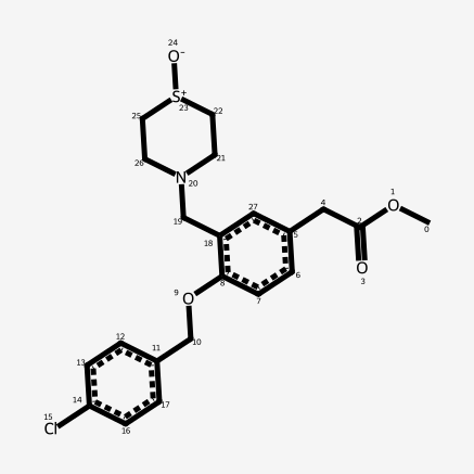 COC(=O)Cc1ccc(OCc2ccc(Cl)cc2)c(CN2CC[S+]([O-])CC2)c1